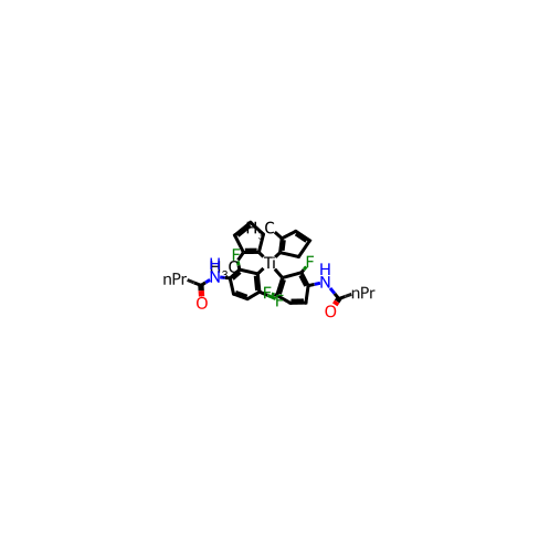 CCCC(=O)Nc1ccc(F)[c]([Ti]([C]2=C(C)C=CC2)([C]2=C(C)C=CC2)[c]2c(F)ccc(NC(=O)CCC)c2F)c1F